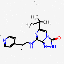 CC(C)(C)c1cn2c(=O)[nH]nc2c(NCCc2ccncc2)n1